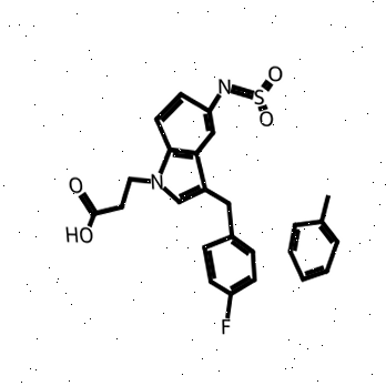 Cc1ccccc1.O=C(O)CCn1cc(Cc2ccc(F)cc2)c2cc(N=S(=O)=O)ccc21